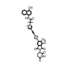 CC(C)(C(=O)Nc1ccc(C#N)c2ccccc12)n1cc(C#CC2CN(c3cc4c(c5c3OCO5)C(=O)N(C3CCC(=O)NC3=O)C4=O)C2)cn1